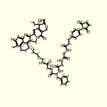 C=C1OCc2c(cc3n(c2=O)Cc2c-3nc3cc(F)c(C)c4c3c2[C@H](OCCOCNC(=O)CNC(=O)[C@H](Cc2ccccc2)NC(=O)CNC(=O)CNC(=O)CCc2ccc(N3C(=O)C=CC3=O)cc2)CC4)[C@@]1(O)CC